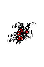 CCCOc1ccc(C(=O)O[C@@]2(C(=O)c3ccc(OCCC)cc3)[C@@](OC(=O)c3ccc(OCCC)cc3)(C(=O)c3ccc(OCCC)cc3)[C@@H](O)[C@H](O)[C@@H](O)[C@@]2(OC(=O)c2ccc(OCCC)cc2)C(=O)c2ccc(OCCC)cc2)cc1